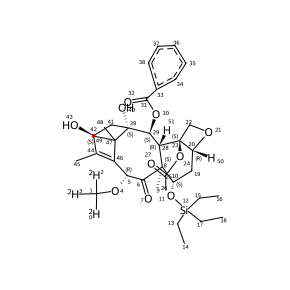 [2H]C([2H])([2H])O[C@H]1C(=O)[C@]2(C)[C@@H](O[Si](CC)(CC)CC)C[C@H]3OC[C@@]3(OC(C)=O)[C@H]2[C@H](OC(=O)c2ccccc2)[C@]2(O)C[C@H](O)C(C)=C1C2(C)C